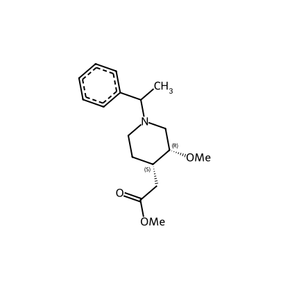 COC(=O)C[C@@H]1CCN(C(C)c2ccccc2)C[C@@H]1OC